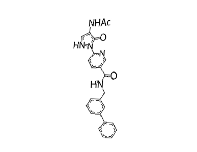 CC(=O)Nc1c[nH]n(-c2ccc(C(=O)NCc3cccc(-c4ccccc4)c3)cn2)c1=O